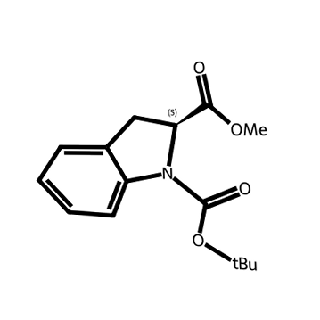 COC(=O)[C@@H]1Cc2ccccc2N1C(=O)OC(C)(C)C